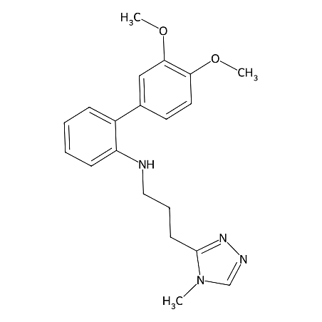 COc1ccc(-c2ccccc2NCCCc2nncn2C)cc1OC